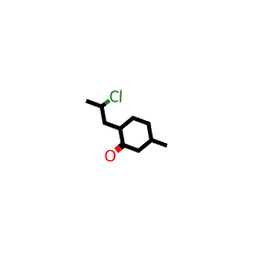 CC(Cl)CC1CCC(C)CC1=O